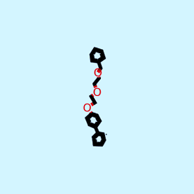 [c]1ccccc1-c1ccc(OCCOCCOCc2ccccc2)cc1